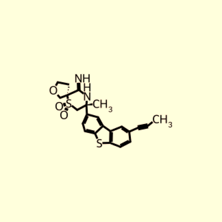 CC#Cc1ccc2sc3ccc([C@]4(C)CS(=O)(=O)[C@]5(CCOC5)C(=N)N4)cc3c2c1